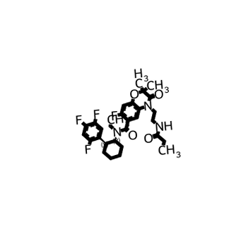 CCC(=O)NCCN1C(=O)C(C)(C)Oc2cc(F)c(C(=O)N(CC)[C@@H]3CCCC[C@H]3c3cc(F)c(F)cc3F)cc21